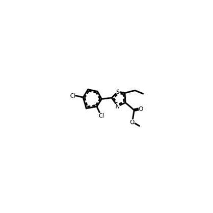 CCc1sc(-c2ccc(Cl)cc2Cl)nc1C(=O)OC